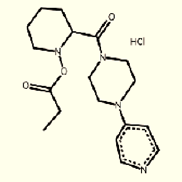 CCC(=O)ON1CCCCC1C(=O)N1CCN(c2ccncc2)CC1.Cl